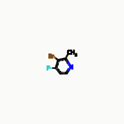 Cc1nccc(F)c1Br